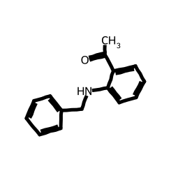 CC(=O)c1ccccc1NCc1ccccc1